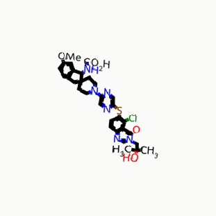 COc1ccc2c(c1)C(NC(=O)O)C1(CCN(c3cnc(Sc4ccc5ncn(CC(C)(C)O)c(=O)c5c4Cl)cn3)CC1)C2